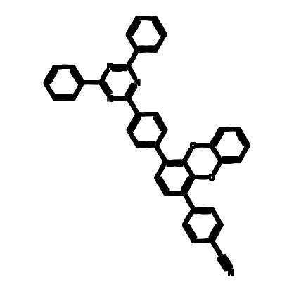 N#Cc1ccc(-c2ccc(-c3ccc(-c4nc(-c5ccccc5)nc(-c5ccccc5)n4)cc3)c3c2Oc2ccccc2O3)cc1